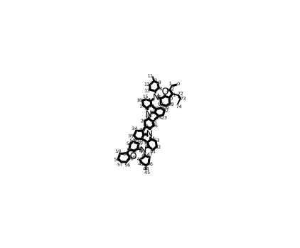 C=Cc1oc2c(N(c3ccc(C)cc3)c3cccc4c3c3cccc5c6cc7c(cc6n4c53)c3cccc4c5c(N(c6ccc(C)cc6)c6cccc8c6oc6ccccc68)cccc5n7c34)cccc2c1/C=C\C